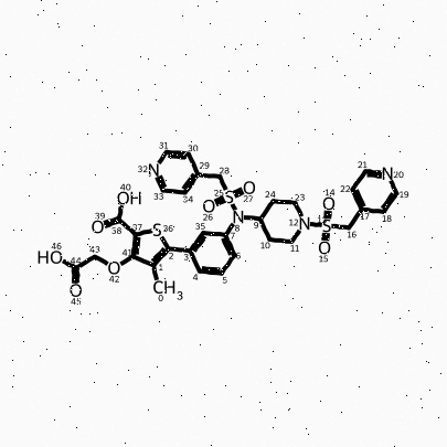 Cc1c(-c2cccc(N(C3CCN(S(=O)(=O)Cc4ccncc4)CC3)S(=O)(=O)Cc3ccncc3)c2)sc(C(=O)O)c1OCC(=O)O